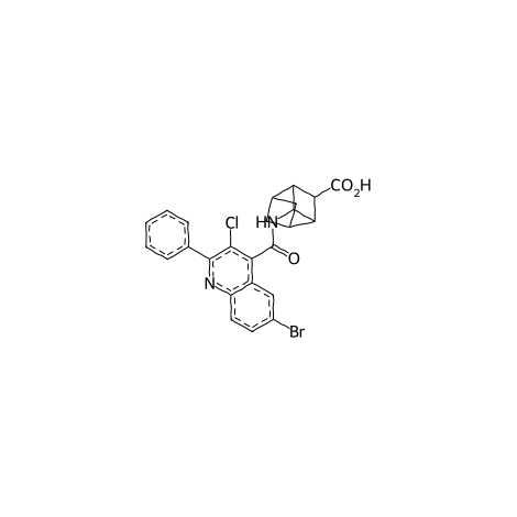 O=C(NC1C2C3CC(C3)C1C2C(=O)O)c1c(Cl)c(-c2ccccc2)nc2ccc(Br)cc12